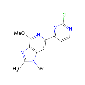 COc1nc(-c2ccnc(Cl)n2)cc2c1nc(C)n2C(C)C